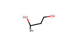 C[C](C)C(O)[CH]CO